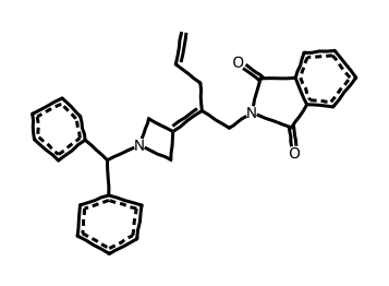 C=CCC(CN1C(=O)c2ccccc2C1=O)=C1CN(C(c2ccccc2)c2ccccc2)C1